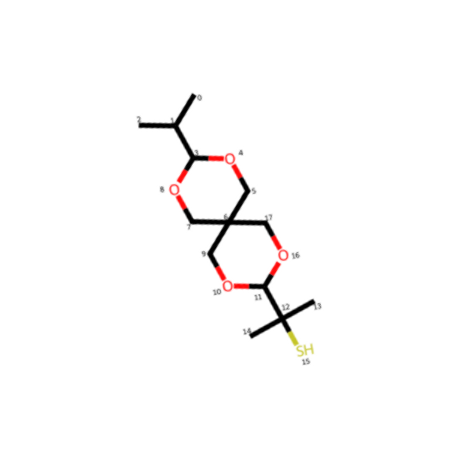 CC(C)C1OCC2(CO1)COC(C(C)(C)S)OC2